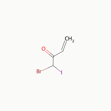 C=CC(=O)C(Br)I